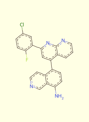 Nc1ccc(-c2cc(-c3cc(Cl)ccc3F)nc3ncccc23)c2ccncc12